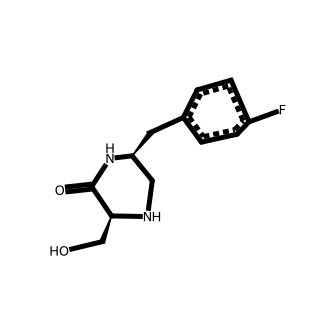 O=C1N[C@@H](Cc2ccc(F)cc2)CN[C@H]1CO